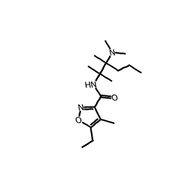 CCCC(C)(N(C)C)C(C)(C)NC(=O)c1noc(CC)c1C